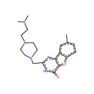 Cc1ccc2oc3c(=O)[nH]c(CN4CCN(CCN(C)C)CC4)nc3c2c1